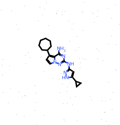 Nc1nc(Nc2cc(C3CC3)[nH]n2)nn2ccc(C3CCCCCC3)c12